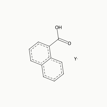 O=C(O)c1cccc2ccccc12.[Y]